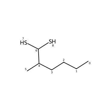 CCCCC(C)C(S)S